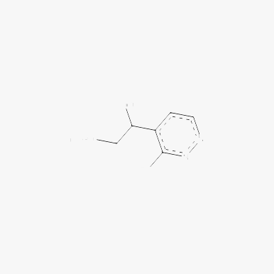 CCCCCCCCC(CCC)c1ccnnc1CC